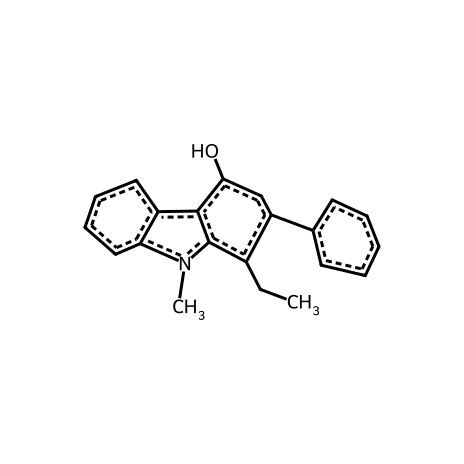 CCc1c(-c2ccccc2)cc(O)c2c3ccccc3n(C)c12